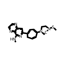 CNc1nc(C2=CC=C(N3CCN(SC)CC3)C=CC2)cc2nccnc12